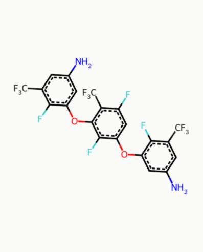 Nc1cc(Oc2cc(F)c(C(F)(F)F)c(Oc3cc(N)cc(C(F)(F)F)c3F)c2F)c(F)c(C(F)(F)F)c1